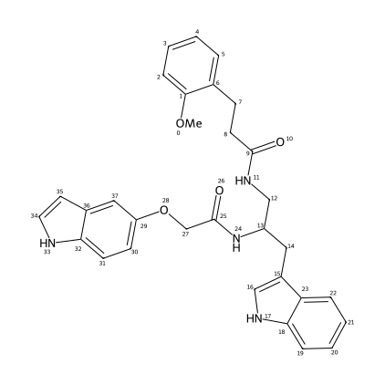 COc1ccccc1CCC(=O)NCC(Cc1c[nH]c2ccccc12)NC(=O)COc1ccc2[nH]ccc2c1